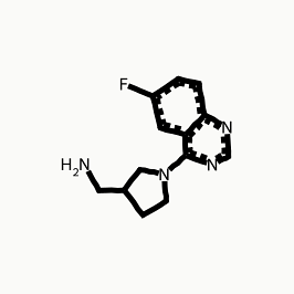 NCC1CCN(c2ncnc3ccc(F)cc23)C1